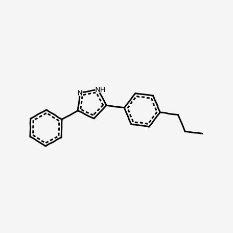 CCCc1ccc(-c2cc(-c3ccccc3)n[nH]2)cc1